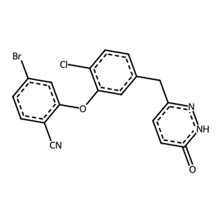 N#Cc1ccc(Br)cc1Oc1cc(Cc2ccc(=O)[nH]n2)ccc1Cl